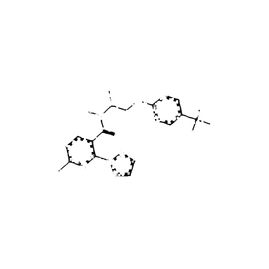 CCN(C(=O)c1ccc(C)nc1-n1nccn1)[C@@H](C)COc1ccc(C(C)(F)F)cn1